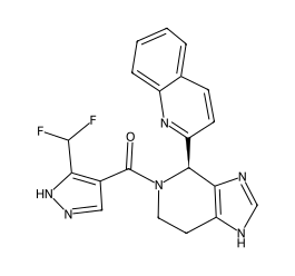 O=C(c1cn[nH]c1C(F)F)N1CCc2[nH]cnc2[C@@H]1c1ccc2ccccc2n1